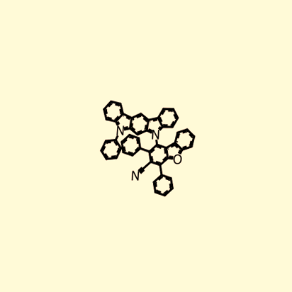 N#Cc1c(-c2ccccc2)c(-n2c3ccccc3c3cc4c5ccccc5n(-c5ccccc5)c4cc32)c2c(oc3ccccc32)c1-c1ccccc1